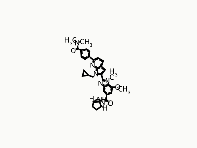 COc1cc(C(=O)N2C[C@H]3CC[C@@H]2[C@@H]3N)cc2nc(-c3cc4ccc(-c5ccc(C(=O)N(C)C)cc5)nc4n3CC3CC3)n(C)c12